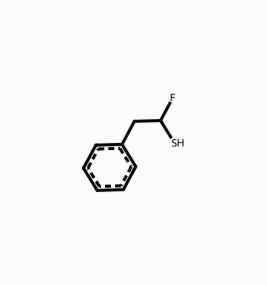 FC(S)Cc1ccccc1